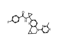 Cc1nccc(N2CC3CC3c3nc(C4(NC(=O)c5ccc(F)cc5)CC4)ccc32)n1